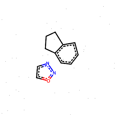 c1ccc2c(c1)CCC2.c1conn1